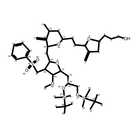 C=C1CC(CCCO)OC1CCC1CC(C)C(=C)C(CC2OC(C[C@@H](CO[Si](C)(C)C(C)(C)C)O[Si](C)(C)C(C)(C)C)C(OC)C2CS(=O)(=O)c2ccccc2)O1